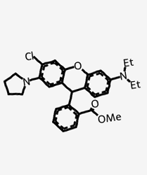 CCN(CC)c1ccc2c(c1)Oc1cc(Cl)c(N3CCCC3)cc1C2c1ccccc1C(=O)OC